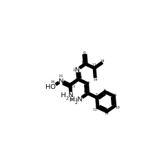 C=C(/N=C(\C=C(/N)c1ccccc1)C(/N)=N/O)C(C)C